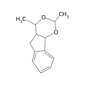 CC1OC(C)C2Cc3ccccc3C2O1